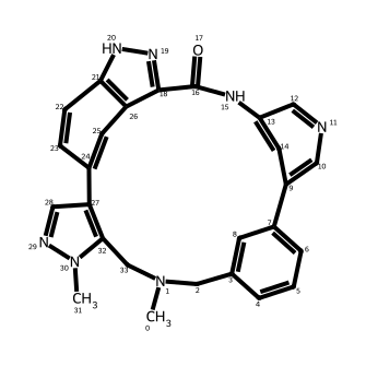 CN1Cc2cccc(c2)-c2cncc(c2)NC(=O)c2n[nH]c3ccc(cc23)-c2cnn(C)c2C1